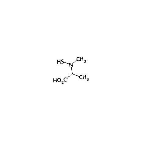 C[C@H](C(=O)O)N(C)S